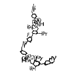 CC(C)c1cc(-c2ccc3ccncc3c2)cc(C(C)C)c1CC(=O)NS(=O)(=O)c1ccc(CN(C)Cc2ccc(-c3cc(C(C)C)c(CC(=O)NS(=O)(=O)c4ccc(CN(C)C)cc4)c(C(C)C)c3)c(F)c2)cc1